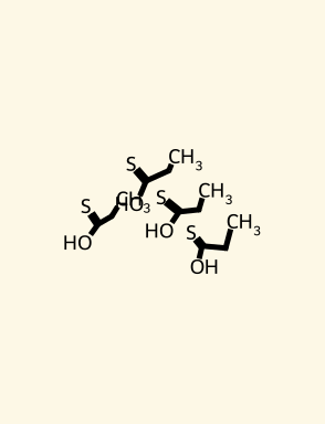 CCC(O)=S.CCC(O)=S.CCC(O)=S.CCC(O)=S